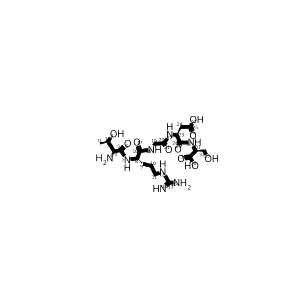 C[C@@H](O)[C@H](N)C(=O)N[C@@H](CCCNC(=N)N)C(=O)NCC(=O)N[C@@H](CC(=O)O)C(=O)N[C@@H](CO)C(=O)O